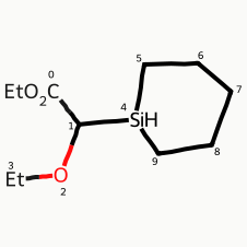 CCOC(=O)C(OCC)[SiH]1CCCCC1